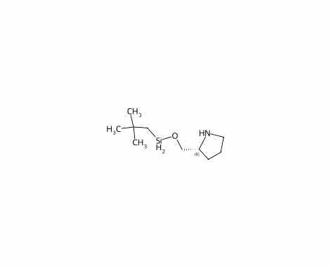 CC(C)(C)C[SiH2]OC[C@H]1CCCN1